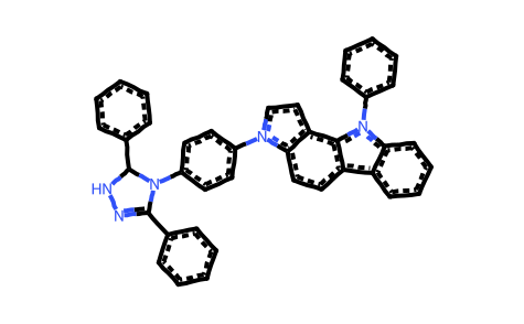 c1ccc(C2=NNC(c3ccccc3)N2c2ccc(-n3ccc4c3ccc3c5ccccc5n(-c5ccccc5)c34)cc2)cc1